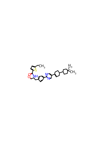 CCc1ccc(C(=O)NC(C=O)Cc2ccc(-c3ncc(C4=CCC(C5CCC(C)(C)CC5)CC4)cn3)cc2)s1